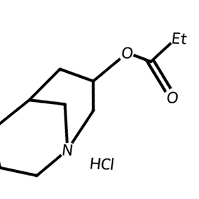 CCC(=O)OC1CC2CCCN(C2)C1.Cl